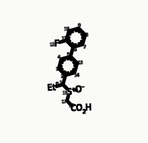 CCC(c1ccc(-c2ccccc2F)cc1)[S+]([O-])CC(=O)O